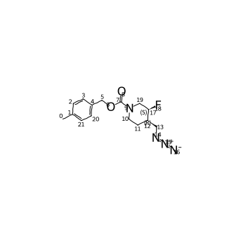 Cc1ccc(COC(=O)N2CC[C@H](CN=[N+]=[N-])[C@H](F)C2)cc1